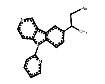 CC(CC(C)(C)C)c1ccc2c(c1)c1cnccc1n2-c1ccccn1